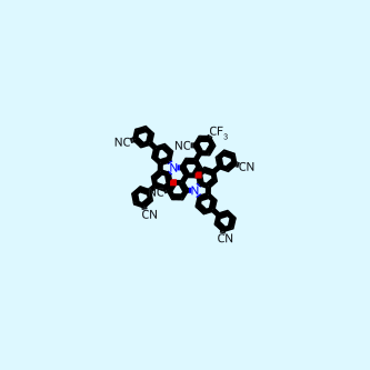 N#Cc1cccc(-c2ccc3c(c2)c2cc(-c4cccc(C#N)c4)ccc2n3-c2ccc(C#N)cc2-c2ccc(-c3ccc(C(F)(F)F)cc3C#N)cc2-n2c3ccc(-c4cccc(C#N)c4)cc3c3cc(-c4cccc(C#N)c4)ccc32)c1